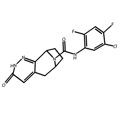 O=C(Nc1cc(Cl)c(F)cc1F)N1C2CCC1c1n[nH]c(=O)cc1C2